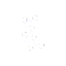 c1ccc(Nc2cccc(-c3ccccc3-c3cccc(Nc4ccccc4)c3Nc3ccccc3)c2Nc2ccccc2)cc1